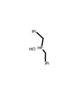 CC(C)CPCC(C)C.Cl